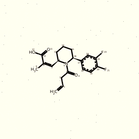 C=CCC(=O)N1[C@@H](/C=C(/C)C(=O)O)CCC[C@H]1c1ccc(F)c(F)c1